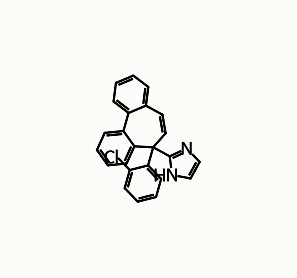 Clc1ccccc1C1(c2ncc[nH]2)C=Cc2ccccc2-c2ccccc21